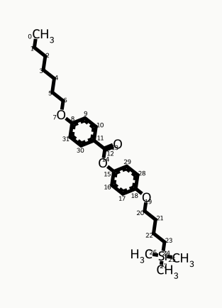 CCCCCCCOc1ccc(C(=O)Oc2ccc(OCCCC[Si](C)(C)C)cc2)cc1